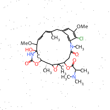 COc1cc2cc(c1Cl)N(C)C(=O)CC(OC(=O)C(C)N(C)C)C1(C)OC1[C@H](C)C1CC(O)(NC(=O)O1)C(OC)/C=C/C=C(\C)C2